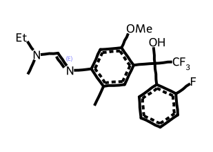 CCN(C)/C=N/c1cc(OC)c(C(O)(c2ccccc2F)C(F)(F)F)cc1C